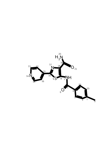 Cc1ccc(C(=O)Nc2sc(-c3ccncc3)nc2C(N)=O)cc1